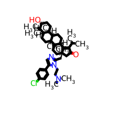 CC(C)C1=C2[C@H]3CC[C@@H]4[C@@]5(C)CC[C@H](O)C(C)(C)[C@@H]5CC[C@@]4(C)[C@]3(C)CC[C@@]2(Cc2ncc(-c3ccc(Cl)cc3)n2CCN(C)C)CC1=O